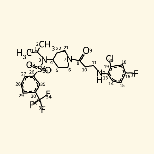 CC(C)N(C1CCN(C(=O)CCNc2ccc(F)cc2Cl)CC1)S(=O)(=O)c1cccc(C(F)(F)F)c1